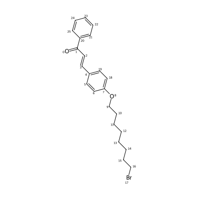 O=C(C=Cc1ccc(OCCCCCCCCBr)cc1)c1ccccc1